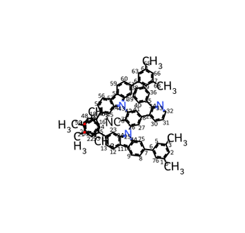 Cc1cc(C)cc(-c2ccc3c4ccc(-c5cc(C)cc(C)c5)cc4n(-c4cc(-c5cccnc5-c5ccccc5)cc(-n5c6cc(-c7cc(C)cc(C)c7)ccc6c6ccc(-c7cc(C)cc(C)c7)cc65)c4C#N)c3c2)c1